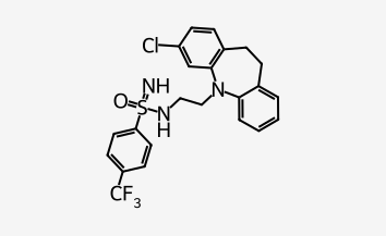 N=S(=O)(NCCN1c2ccccc2CCc2ccc(Cl)cc21)c1ccc(C(F)(F)F)cc1